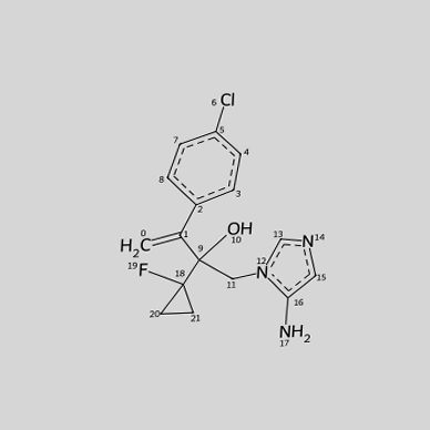 C=C(c1ccc(Cl)cc1)C(O)(Cn1cncc1N)C1(F)CC1